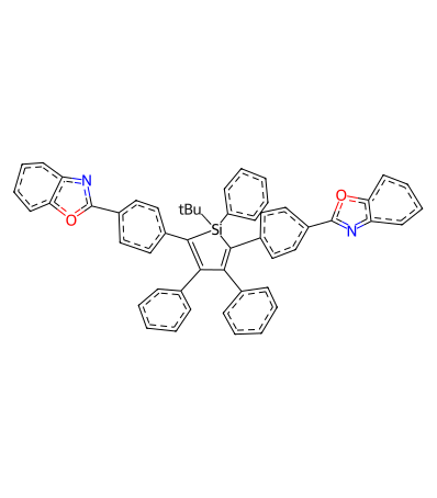 CC(C)(C)[Si]1(c2ccccc2)C(c2ccc(-c3nc4ccccc4o3)cc2)=C(c2ccccc2)C(c2ccccc2)=C1c1ccc(-c2nc3ccccc3o2)cc1